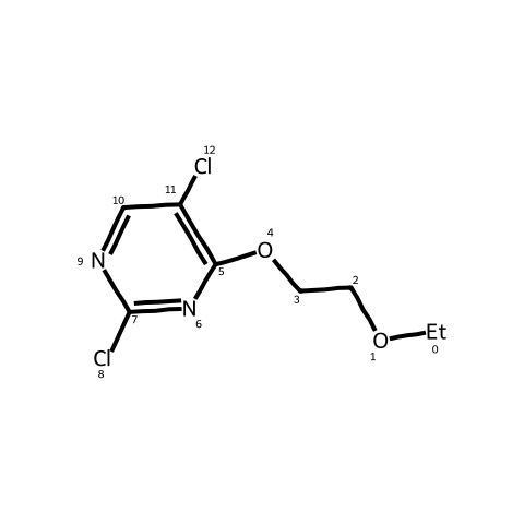 CCOCCOc1nc(Cl)ncc1Cl